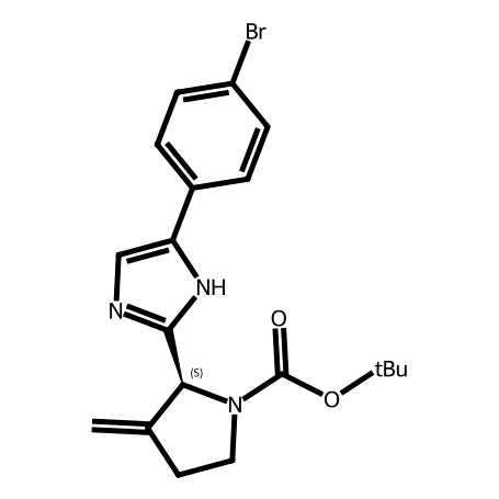 C=C1CCN(C(=O)OC(C)(C)C)[C@@H]1c1ncc(-c2ccc(Br)cc2)[nH]1